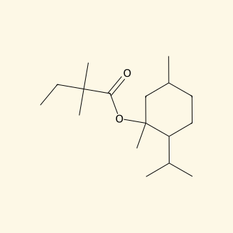 CCC(C)(C)C(=O)OC1(C)CC(C)CCC1C(C)C